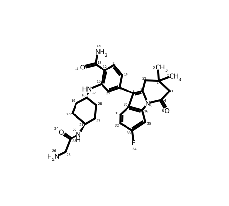 CC1(C)CC(=O)n2c(c(-c3ccc(C(N)=O)c(N[C@H]4CC[C@H](NC(=O)CN)CC4)c3)c3ccc(F)cc32)C1